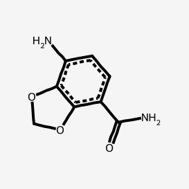 NC(=O)c1ccc(N)c2c1OCO2